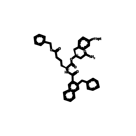 CCCCCCCc1ccc(C[C@@H](CC(N)=O)OC(=O)[C@H](CCCC(=O)OCc2ccccc2)NC(=O)c2cc3ccccc3cc2Cc2ccccc2)cc1